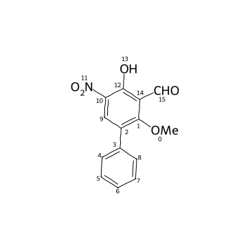 COc1c(-c2ccccc2)cc([N+](=O)[O-])c(O)c1C=O